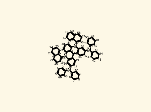 c1ccc(N(c2ccccc2)c2ccc3c(c2)N(c2cccc4ccccc24)c2cccc4c2C3c2ccc(N(c3ccccc3)c3ccccc3)cc2N4c2cccc3ccccc23)cc1